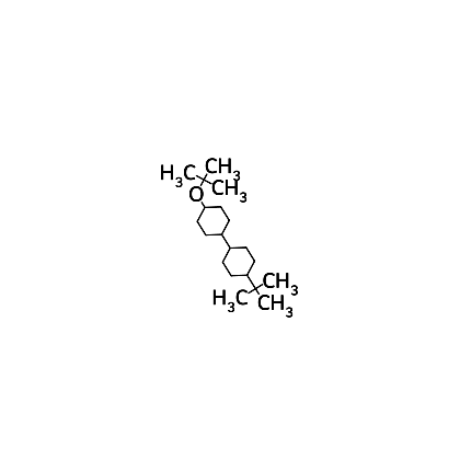 CC(C)(C)OC1CCC(C2CCC(C(C)(C)C)CC2)CC1